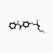 NC/C=C(/F)COc1ccc(C(=O)Nc2ccccc2)cc1